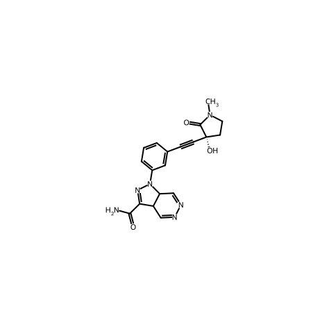 CN1CC[C@@](O)(C#Cc2cccc(N3N=C(C(N)=O)C4C=NN=CC43)c2)C1=O